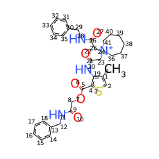 Cc1csc(C(=O)OCC(=O)NCc2ccccc2)c1NC(=O)C[N+]1(CC(=O)NCc2ccccc2)CCCCCC1